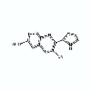 COc1ccc2nc(-c3ccc[nH]3)c(C#N)cc2c1